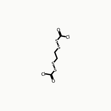 O=C(Cl)SSCCSSC(=O)Cl